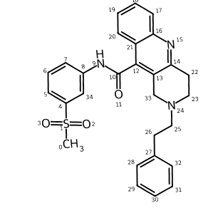 CS(=O)(=O)c1cccc(NC(=O)c2c3c(nc4ccccc24)CCN(CCc2ccccc2)C3)c1